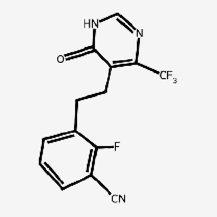 N#Cc1cccc(CCc2c(C(F)(F)F)nc[nH]c2=O)c1F